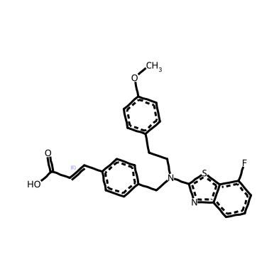 COc1ccc(CCN(Cc2ccc(/C=C/C(=O)O)cc2)c2nc3cccc(F)c3s2)cc1